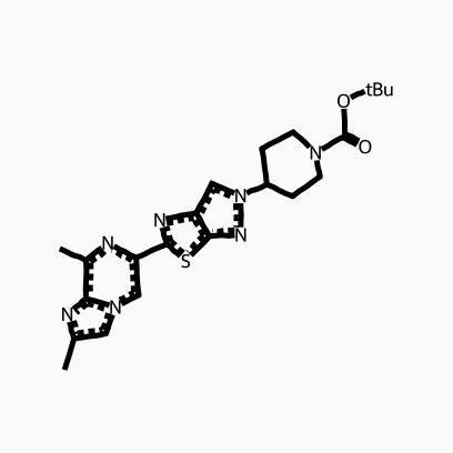 Cc1cn2cc(-c3nc4cn(C5CCN(C(=O)OC(C)(C)C)CC5)nc4s3)nc(C)c2n1